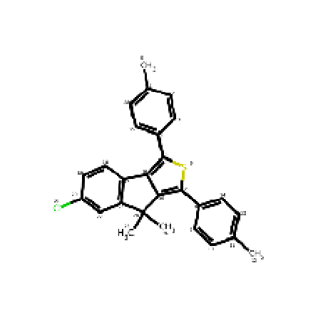 Cc1ccc(-c2sc(-c3ccc(C)cc3)c3c2-c2ccc(Cl)cc2C3(C)C)cc1